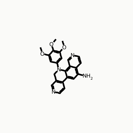 COc1cc(N2Cc3cnccc3-c3cc(N)c4ccncc4c32)cc(OC)c1OC